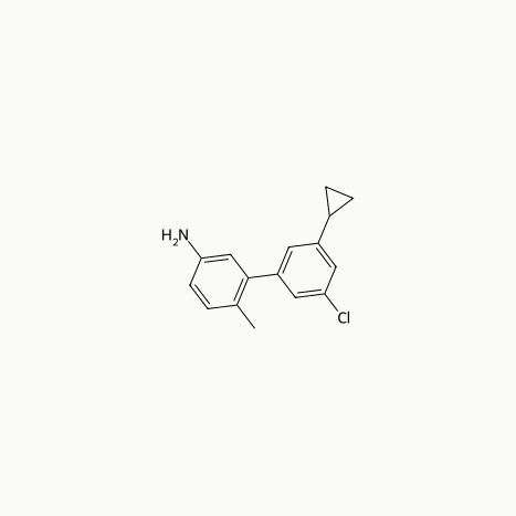 Cc1ccc(N)cc1-c1cc(Cl)cc(C2CC2)c1